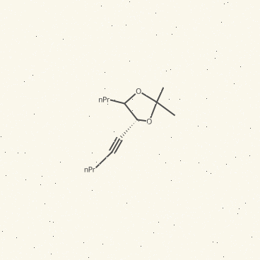 CCCC#C[C@H]1OC(C)(C)OC1CCC